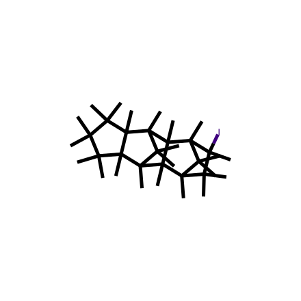 CC1(C)C(C)(C)C2(C)C(C)(C1(C)C)C1(C)C(C)(C)C2(C)C2(C)C3(C)C(C)(C)C(C)(I)C(C)(C3(C)C)C12C